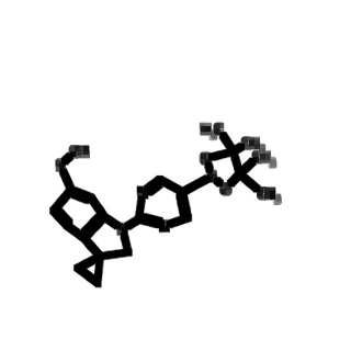 CC1(C)OB(c2cnc(N3CC4(CC4)c4ccc(SO)cc43)nc2)OC1(C)C